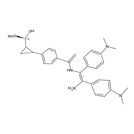 C=C(N/C(=C(\N)c1ccc(N(C)C)cc1)c1ccc(N(C)C)cc1)c1ccc(C2CC2[C@H](O)OC)cc1